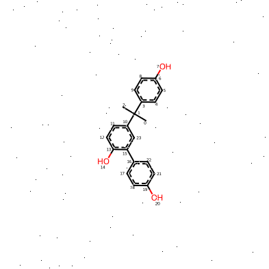 CC(C)(c1ccc(O)cc1)c1ccc(O)c(-c2ccc(O)cc2)c1